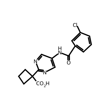 O=C(Nc1cnc(C2(C(=O)O)CCC2)nc1)c1cccc(Cl)c1